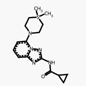 CS1(C)CCN(c2cccc3nc(NC(=O)C4CC4)nn23)CC1